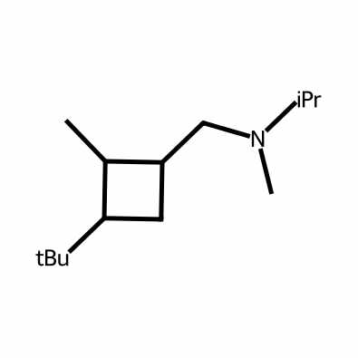 CC1C(CN(C)C(C)C)CC1C(C)(C)C